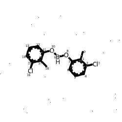 Cc1c(Cl)cccc1OBOc1cccc(Cl)c1C